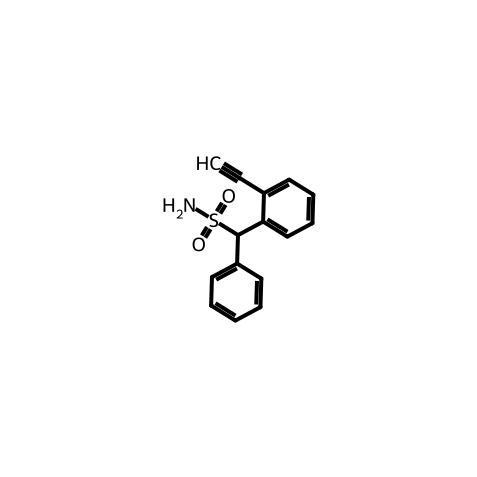 C#Cc1ccccc1C(c1ccccc1)S(N)(=O)=O